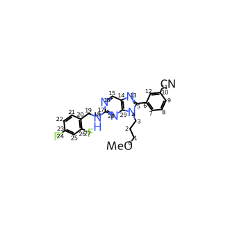 COCCCn1c(-c2cccc(C#N)c2)nc2cnc(NCc3ccc(F)cc3F)nc21